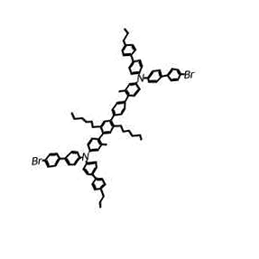 CCCCCCc1cc(-c2ccc(N(c3ccc(-c4ccc(Br)cc4)cc3)c3ccc(-c4ccc(CCC)cc4)cc3)cc2C)c(CCCCCC)cc1-c1ccc(-c2ccc(N(c3ccc(-c4ccc(Br)cc4)cc3)c3ccc(-c4ccc(CCC)cc4)cc3)cc2C)cc1